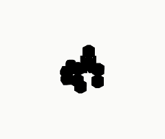 c1ccc(-c2cccc(-c3nc(-c4ccccc4)nc(-c4cc(-c5ccc6ccccc6c5)c5c(c4)oc4ccc6ccccc6c45)n3)c2)cc1